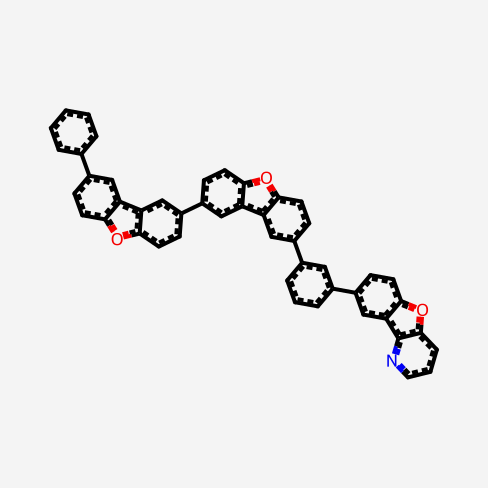 c1ccc(-c2ccc3oc4ccc(-c5ccc6oc7ccc(-c8cccc(-c9ccc%10oc%11cccnc%11c%10c9)c8)cc7c6c5)cc4c3c2)cc1